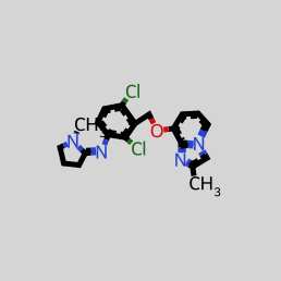 Cc1cn2cccc(OCc3c(Cl)ccc(N=C4CCCN4C)c3Cl)c2n1